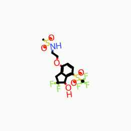 CS(=O)(=O)NCCOc1ccc(S(=O)(=O)C(F)(F)F)c2c1CC(F)(F)C2O